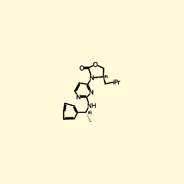 CC(C)C[C@@H]1COC(=O)N1c1ccnc(N[C@H](C)c2ccccc2)n1